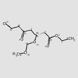 CCOC(=O)C[C@@H](CC(=O)CCCl)OCOC